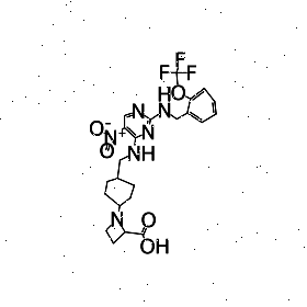 O=C(O)C1CCN1C1CCC(CNc2nc(NCc3ccccc3OC(F)(F)F)ncc2[N+](=O)[O-])CC1